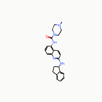 CN1CCN(C(=O)Nc2cccc3nc(N[C@@H]4CCc5ccccc54)ccc23)CC1